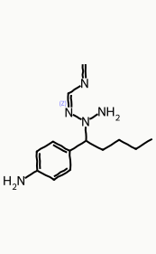 C=N/C=N\N(N)C(CCCC)c1ccc(N)cc1